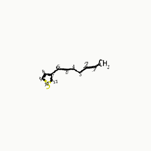 CCCCCCCc1ccsc1